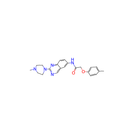 Cc1ccc(OCC(=O)Nc2ccc3nc(N4CCN(C)CC4)ncc3c2)cc1